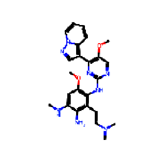 CNc1cc(OC)c(Nc2ncc(OC)c(-c3cnn4ccccc34)n2)c(CCN(C)C)c1N